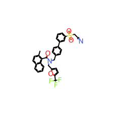 Cc1ccc2ccccc2c1C(=O)N(Cc1ccc(-c2cccc(S(=O)(=O)CC#N)c2)cc1)Cc1ccc(C(F)(F)F)o1